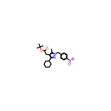 Cc1c(CC(=O)OC(C)(C)C)c(C2CCCCC2)nn1Cc1ccc([N+](=O)[O-])cc1